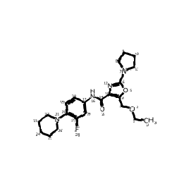 CCOCc1oc(N2CCCC2)nc1C(=O)Nc1ccc(N2CCCCC2)c(F)c1